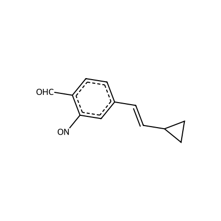 O=Cc1ccc(/C=C/C2CC2)cc1N=O